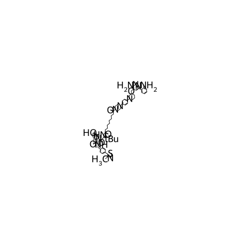 Cc1ncsc1-c1ccc(CNC(=O)[C@@H]2C[C@@H](O)CN2C(=O)C(NC(=O)CCCCCCCCC(=O)N2CCN(c3ccc(N4CCCC(Oc5cc(-c6ccccc6N)nnc5N)C4)cc3)CC2)C(C)(C)C)cc1